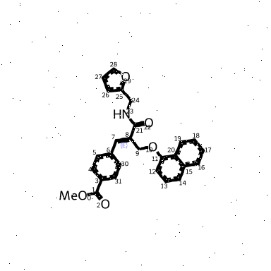 COC(=O)c1ccc(/C=C(\COc2cccc3ccccc23)C(=O)NCc2ccco2)cc1